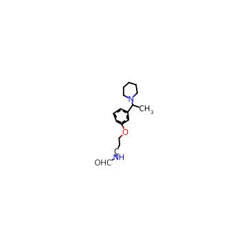 CC(c1cccc(OCCCNC=O)c1)N1CCCCC1